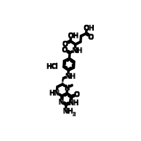 CN1c2c(nc(N)[nH]c2=O)NC[C@@H]1CNc1ccc(C(=O)NC(CCC(=O)O)C(=O)O)cc1.Cl